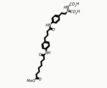 COC(=O)CCCCCCC(=O)Nc1ccc(CCCC(=O)Nc2ccc(CCN(NC(=O)O)C(=O)O)cc2)cc1